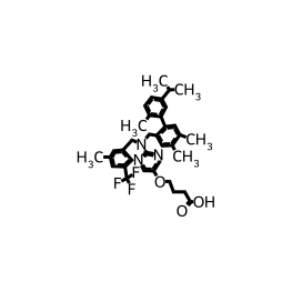 Cc1cc(CN(Cc2cc(C)c(C)cc2-c2cc(C(C)C)ccc2C)c2ncc(OCCCC(=O)O)cn2)cc(C(F)(F)F)c1